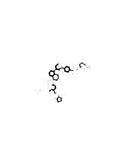 COc1cc(-c2nccc(-c3cccc4c3CCC[C@H]4Nc3nc(OC)c(CN[C@@H]4CCC(=O)N4)cc3C(F)(F)F)c2Cl)ccc1CNC[C@@H]1CCC(=O)N1